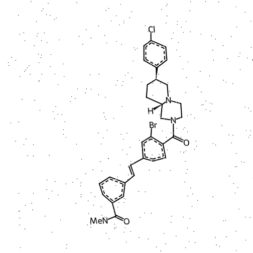 CNC(=O)c1cccc(/C=C/c2ccc(C(=O)N3CCN4C[C@H](c5ccc(Cl)cc5)CC[C@H]4C3)c(Br)c2)c1